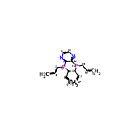 C=CCP(CC=C)c1nccnc1P(CC=C)CC=C